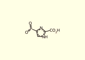 O=C(O)c1nc(P(=O)=O)c[nH]1